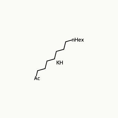 [CH2]C(=O)CCCCCCCCCCCCC.[KH]